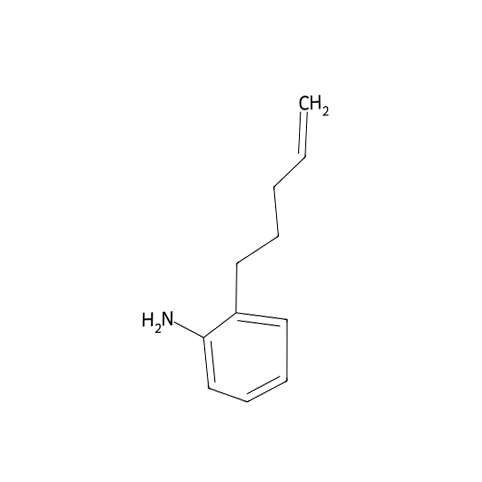 C=CCCCc1ccccc1N